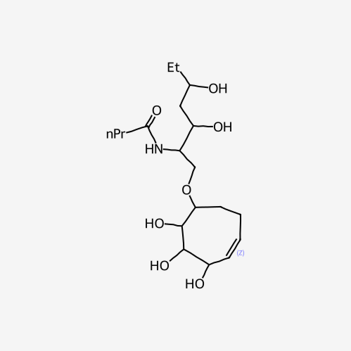 CCCC(=O)NC(COC1CC/C=C\C(O)C(O)C1O)C(O)CC(O)CC